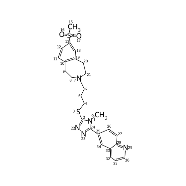 Cn1c(SCCCN2CCc3ccc(S(C)(=O)=O)cc3CC2)nnc1-c1ccc2ncccc2c1